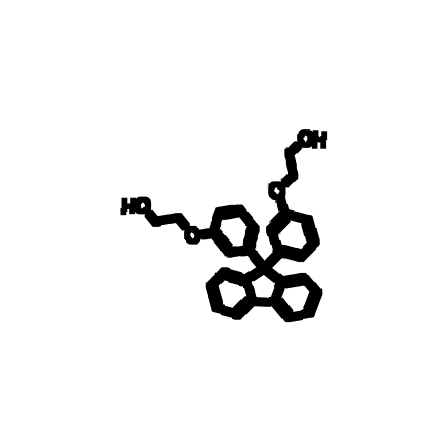 OCCOc1cccc(C2(c3cccc(OCCO)c3)c3ccccc3-c3ccccc32)c1